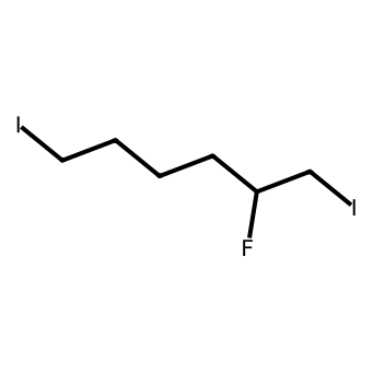 FC(CI)CCCCI